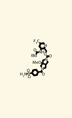 COC12CN(C(=O)OCc3ncc(C(F)(F)F)cc3NC(=O)C(C)(C)C)CC1CN(C(=O)c1ccc(S(N)(=O)=O)cc1)C2